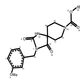 COc1cccc(CN2C(=O)NC3(CCN(C(=O)OC(C)(C)C)CC3)C2=O)c1